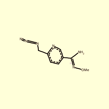 CO/N=C(\N)c1ccc(CN=[N+]=[N-])nc1